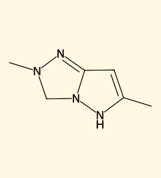 CC1=CC2=NN(C)CN2N1